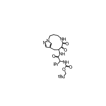 CC(C)C(NC(=O)OCC(C)(C)C)C(=O)NC1Cc2cnn(c2)CCCNC(=O)C1=O